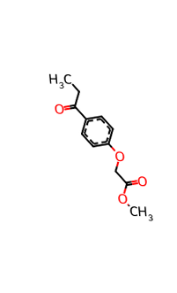 CCC(=O)c1ccc(OCC(=O)OC)cc1